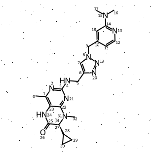 Cc1nc(NCc2cn(Cc3ccnc(N(C)C)c3)nn2)nc2c1NC(=O)[C@H](C1CC1)N2C